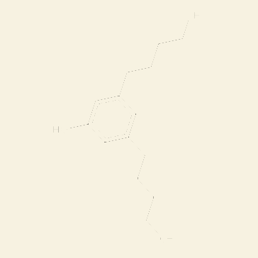 CCCCCc1cc(O)cc(CCCCC)c1